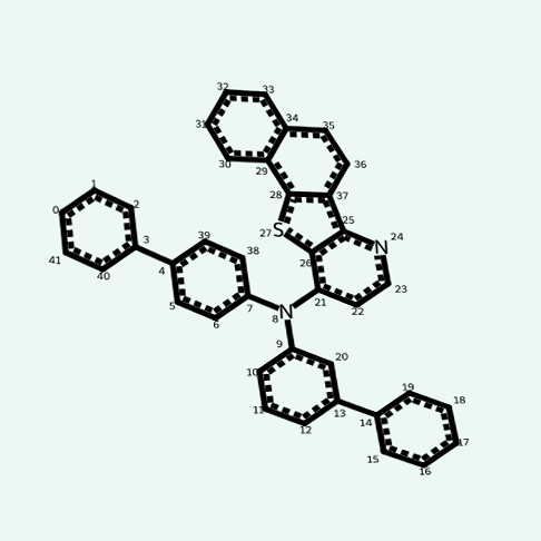 c1ccc(-c2ccc(N(c3cccc(-c4ccccc4)c3)c3ccnc4c3sc3c5ccccc5ccc43)cc2)cc1